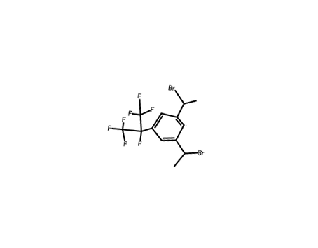 CC(Br)c1[c]c(C(C)Br)cc(C(F)(C(F)(F)F)C(F)(F)F)c1